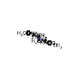 COc1ccc(NC(=S)N/N=C(C)/C(C)=N/NC(=S)Nc2ccc(C)cc2)cc1